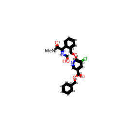 CNC(=O)/C(=N/CO)c1ccccc1COc1ncc(C(=O)OCc2ccccc2)cc1Cl